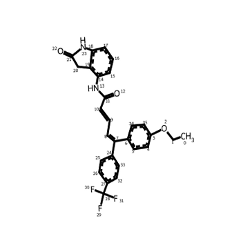 CCOc1ccc(/C(=C\C=C\C(=O)Nc2cccc3c2CC(=O)N3)c2ccc(C(F)(F)F)cc2)cc1